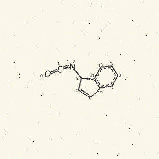 O=C=NC1C=Cc2c[c]ccc21